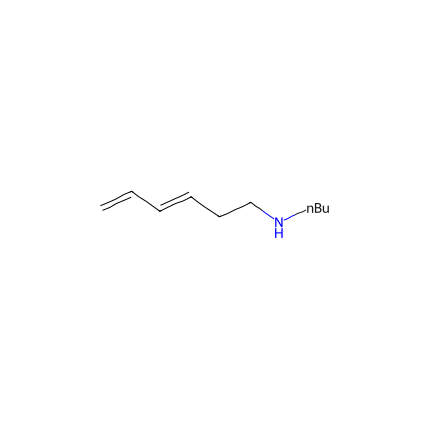 C=CC=CCCNCCCC